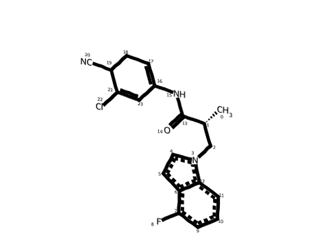 C[C@H](Cn1ccc2c(F)cccc21)C(=O)NC1=CCC(C#N)C(Cl)=C1